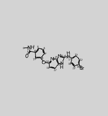 CNC(=O)c1cccc(Oc2ccc3[nH]c(Nc4ccc(Br)cc4)nc3n2)c1